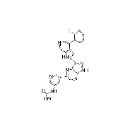 CCCC(=O)Nc1cncc(-c2ccc3[nH]nc(-c4cc5c(-c6ccccc6F)cncc5[nH]4)c3n2)c1